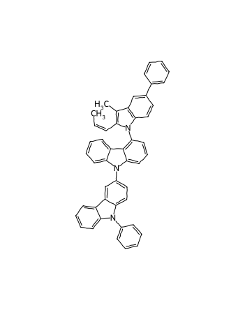 C/C=C\c1c(C)c2cc(-c3ccccc3)ccc2n1-c1cccc2c1c1ccccc1n2-c1ccc2c(c1)c1ccccc1n2-c1ccccc1